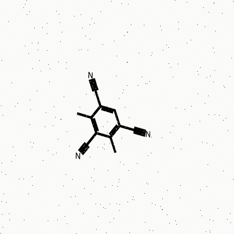 Cc1c(C#N)cc(C#N)c(C)c1C#N